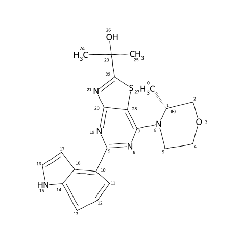 C[C@@H]1COCCN1c1nc(-c2cccc3[nH]ccc23)nc2nc(C(C)(C)O)sc12